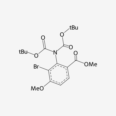 COC(=O)c1ccc(OC)c(Br)c1N(C(=O)OC(C)(C)C)C(=O)OC(C)(C)C